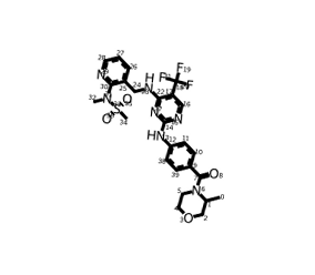 CC1COCCN1C(=O)c1ccc(Nc2ncc(C(F)(F)F)c(NCc3cccnc3N(C)S(C)(=O)=O)n2)cc1